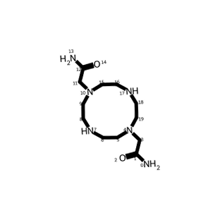 NC(=O)CN1CCNCCN(CC(N)=O)CCNCC1